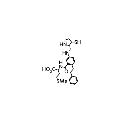 CSCC[C@H](NC(=O)c1cc(NC[C@@H]2NCC[C@H]2S)ccc1CCc1ccccc1)C(=O)O